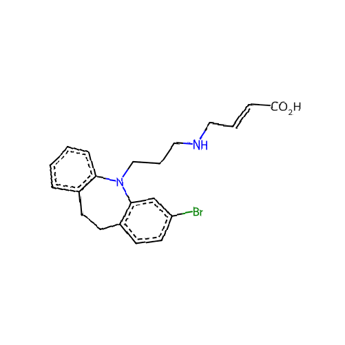 O=C(O)/C=C/CNCCCN1c2ccccc2CCc2ccc(Br)cc21